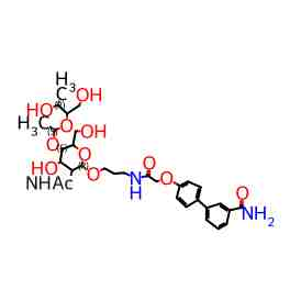 CC(=O)NC1C(O)[C@H](O[C@@H](C)OC(CO)[C@@H](C)O)C(CO)O[C@H]1OCCCNC(=O)COc1ccc(-c2cccc(C(N)=O)c2)cc1